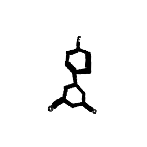 O=C1CC(=O)CC(c2ccc(F)cc2)C1